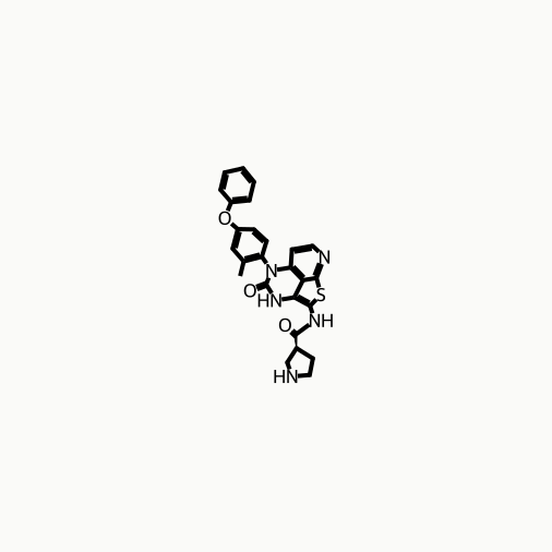 Cc1cc(Oc2ccccc2)ccc1N1C(=O)Nc2c(NC(=O)[C@H]3CCNC3)sc3nccc1c23